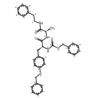 C[C@@H](NC(=O)[C@H](Cc1ccc(OCc2ccccc2)cc1)NC(=O)OCc1ccccc1)C(=O)NCCc1ccccc1